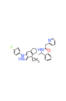 C[C@H]1C2=CNN(c3ccc(F)cc3)C2=CC2=C1[C@@H](CC(NC(=O)Cc1ccccn1)c1ccccc1)CC2